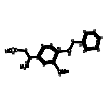 COc1cc(C(N)CC(=O)O)ccc1OCc1ccccc1